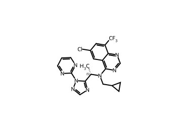 C[C@@H](c1ncnn1-c1ncccn1)N(CC1CC1)c1ncnc2c(C(F)(F)F)cc(Cl)cc12